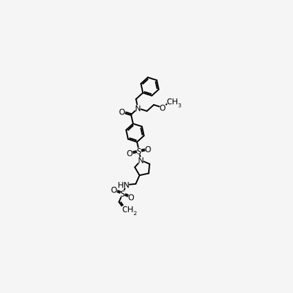 C=CS(=O)(=O)NCC1CCN(S(=O)(=O)c2ccc(C(=O)N(CCOC)Cc3ccccc3)cc2)C1